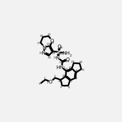 CCOCC1CCc2cc3c(c(NC(=O)N=S(N)(=O)c4cnn5c4OCCC5)c21)CCC3